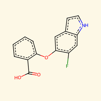 O=C(O)c1ccccc1Oc1cc2cc[nH]c2cc1F